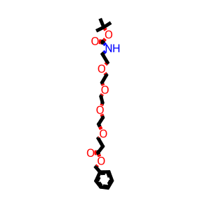 CC(C)(C)OC(=O)NCCOCCOCCOCCOCCC(=O)OCc1ccccc1